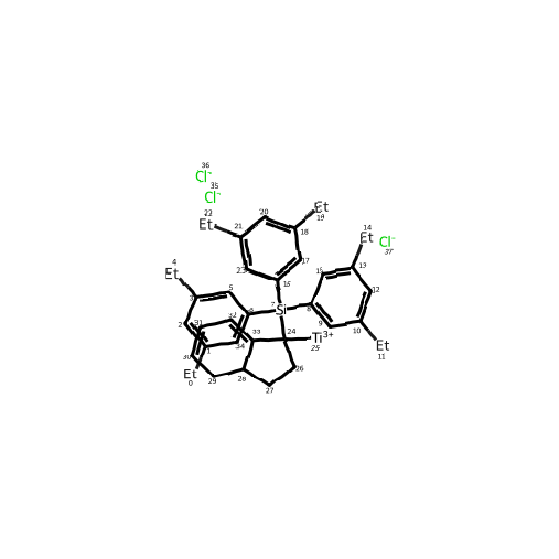 CCc1cc(CC)cc([Si](c2cc(CC)cc(CC)c2)(c2cc(CC)cc(CC)c2)[C]2([Ti+3])CCC3CC=CC=C32)c1.[Cl-].[Cl-].[Cl-]